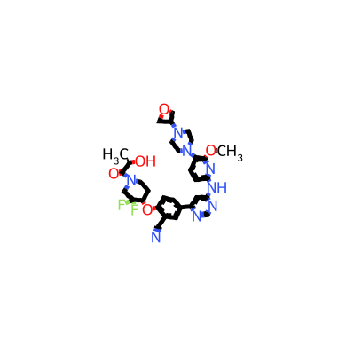 COc1nc(Nc2cc(-c3ccc(OC4CCN(C(=O)[C@H](C)O)CC4(F)F)c(C#N)c3)ncn2)ccc1N1CCN(C2COC2)CC1